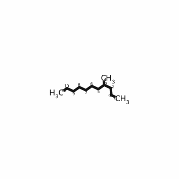 C[CH]CC(C)CCCCCCC